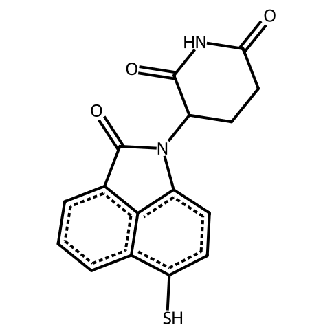 O=C1CCC(N2C(=O)c3cccc4c(S)ccc2c34)C(=O)N1